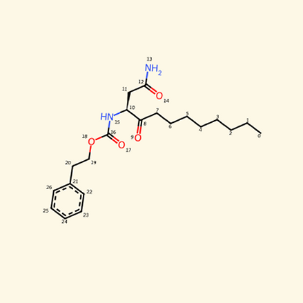 CCCCCCCCC(=O)[C@H](CC(N)=O)NC(=O)OCCc1ccccc1